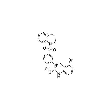 O=C1Nc2cccc(Br)c2CN1c1cc(S(=O)(=O)N2CCCc3ccccc32)ccc1Cl